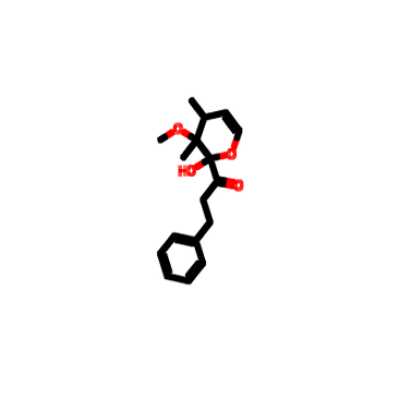 COC1(C)C(C)C=COC1(O)C(=O)CCc1ccccc1